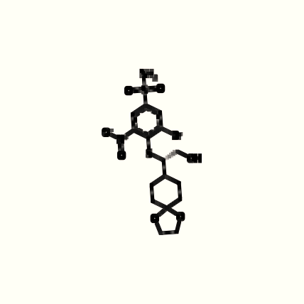 NS(=O)(=O)c1cc(Br)c(S[C@H](CO)C2CCC3(CC2)OCCO3)c([N+](=O)[O-])c1